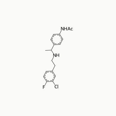 CC(=O)Nc1ccc(C(C)NCCc2ccc(F)c(Cl)c2)cc1